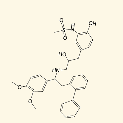 COc1ccc(C(Cc2ccccc2-c2ccccc2)NCC(O)Cc2ccc(O)c(NS(C)(=O)=O)c2)cc1OC